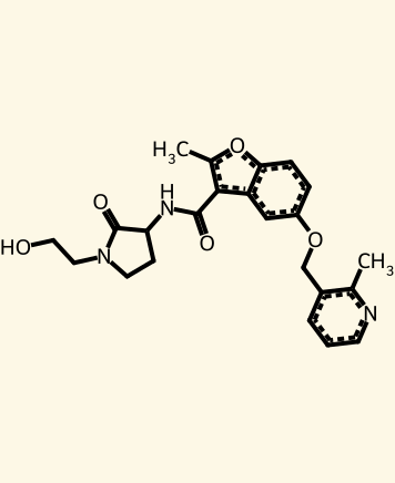 Cc1ncccc1COc1ccc2oc(C)c(C(=O)NC3CCN(CCO)C3=O)c2c1